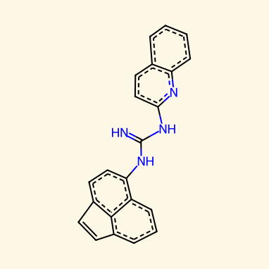 N=C(Nc1ccc2ccccc2n1)Nc1ccc2c3c(cccc13)C=C2